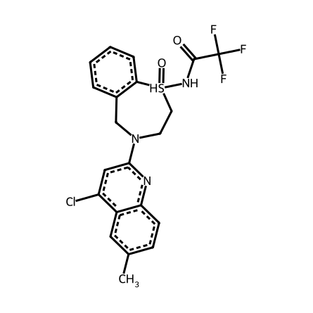 Cc1ccc2nc(N3CC[SH](=O)(NC(=O)C(F)(F)F)c4ccccc4C3)cc(Cl)c2c1